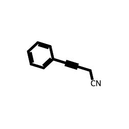 N#CCC#Cc1ccccc1